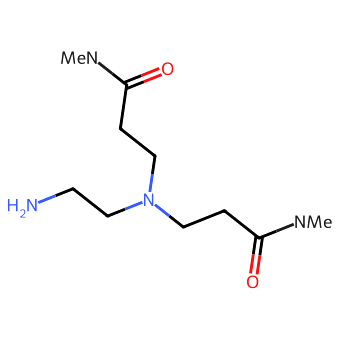 CNC(=O)CCN(CCN)CCC(=O)NC